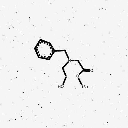 CC(C)(C)OC(=O)CN(CCO)Cc1ccccc1